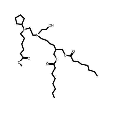 CCCCCCCC(=O)OCC(CCCCN(CCO)CCN(CCCCCC(=O)OC)C1CCCC1)COC(=O)CCCCCCC